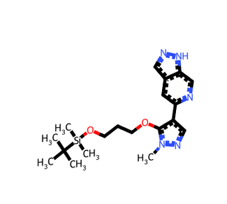 Cn1ncc(-c2cc3cn[nH]c3cn2)c1OCCCO[Si](C)(C)C(C)(C)C